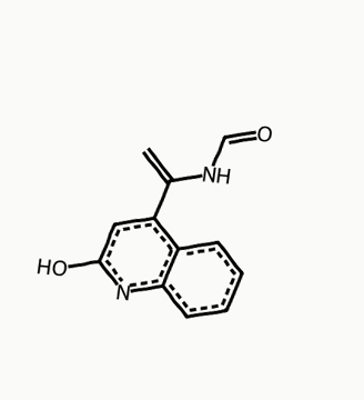 C=C(NC=O)c1cc(O)nc2ccccc12